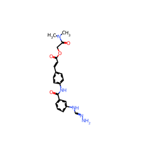 CN(C)C(=O)COC(=O)C=Cc1ccc(NC(=O)c2cccc(NC=NN)c2)cc1